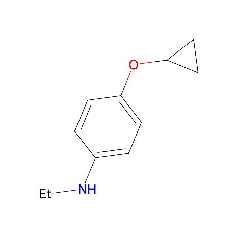 CCNc1ccc(OC2CC2)cc1